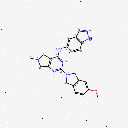 COc1ccc2c(c1)CN(c1nc3c(c(Nc4ccc5[nH]ncc5c4)n1)CN(C)C3)C2